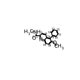 CNC(=O)c1ccc2c(-c3ccccc3)c(OC)ccc2n1